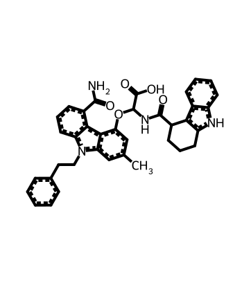 Cc1cc(OC(NC(=O)C2CCCc3[nH]c4ccccc4c32)C(=O)O)c2c3c(C(N)=O)cccc3n(CCc3ccccc3)c2c1